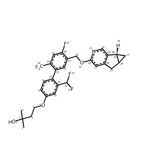 CC(C)(O)CCOc1ccc(-c2cc(COc3cc4c(cn3)[C@@H]3CC3C4)c(F)cc2C(F)(F)F)c(C(F)F)c1